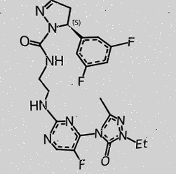 CCn1nc(C)n(-c2nc(NCCNC(=O)N3N=CC[C@H]3c3cc(F)cc(F)c3)ncc2F)c1=O